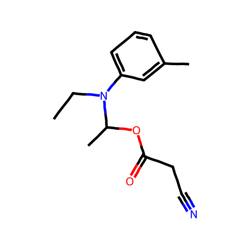 CCN(c1cccc(C)c1)C(C)OC(=O)CC#N